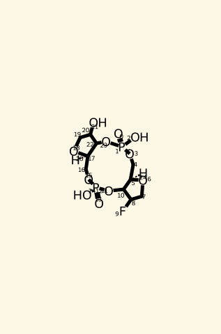 O=P1(O)OC[C@H]2OCC(F)C2OP(=O)(O)OC[C@H]2OCC(O)C2O1